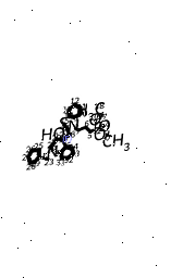 CCOP(=O)(CCCN1c2ccccc2SC1(O)/C=C1\C=CN(Cc2ccccc2)c2ccccc21)OCC